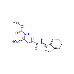 CC(C)(C)OC(=O)N[C@@H](CNC(=O)N[C@@H]1CCc2ccccc21)C(=O)O